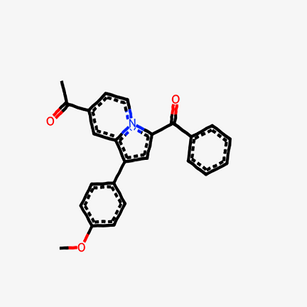 COc1ccc(-c2cc(C(=O)c3ccccc3)n3ccc(C(C)=O)cc23)cc1